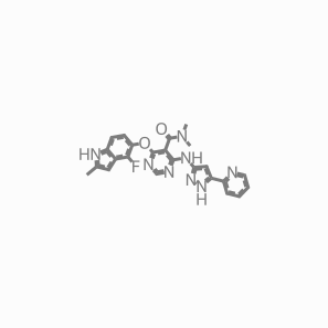 Cc1cc2c(F)c(Oc3ncnc(Nc4cc(-c5ccccn5)[nH]n4)c3C(=O)N(C)C)ccc2[nH]1